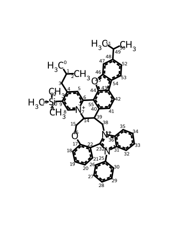 CC(C)Cc1cc2[n+](cc1[Si](C)(C)C)C1COc3ccccc3-c3n(-c4ccccc4)c4ccccc4[n+]3CC1c1ccc3c(oc4cc(C(C)C)ccc43)c1-2